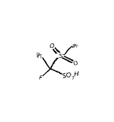 CC(C)C(F)(S(=O)(=O)O)S(=O)(=O)C(C)C